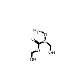 CON(CO)C(=O)OCO